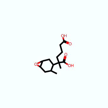 CC1CC2OC2CC1C(C)(CCCC(=O)O)C(=O)O